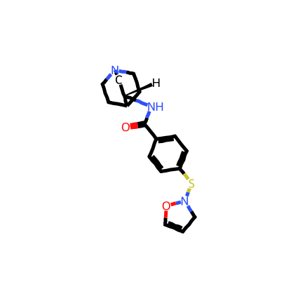 O=C(N[C@H]1CN2CCC1CC2)c1ccc(SN2CC=CO2)cc1